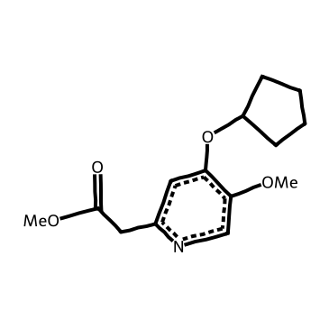 COC(=O)Cc1cc(OC2CCCC2)c(OC)cn1